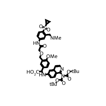 CNCc1cc(NC(=O)COCc2cc(C(Nc3ccc4c(N(C(=O)OC(C)(C)C)C(=O)OC(C)(C)C)nccc4c3)C(=O)O)ccc2OC)ccc1S(=O)(=O)C1CC1